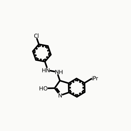 CC(C)c1ccc2c(c1)C(NNc1ccc(Cl)cc1)C(O)=N2